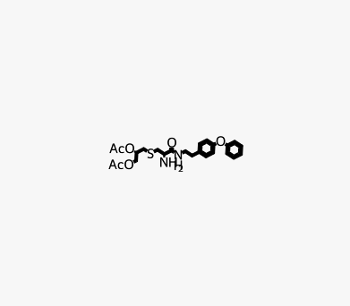 CC(=O)OC[C@H](CSC[C@H](N)C(=O)NCCc1ccc(Oc2ccccc2)cc1)OC(C)=O